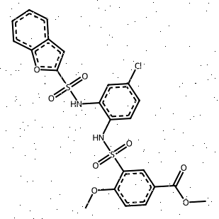 COC(=O)c1ccc(OC)c(S(=O)(=O)Nc2ccc(Cl)cc2NS(=O)(=O)c2cc3ccccc3o2)c1